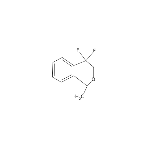 [CH2]C1OCC(F)(F)c2ccccc21